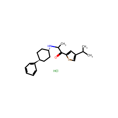 CC(N[C@H]1CC[C@H](c2ccccc2)CC1)C(=O)c1cc(C(C)C)cs1.Cl